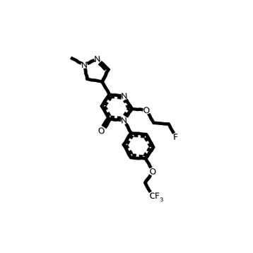 CN1CC(c2cc(=O)n(-c3ccc(OCC(F)(F)F)cc3)c(OCCF)n2)C=N1